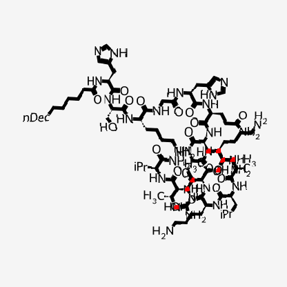 CCCCCCCCCCCCCCCC(=O)N[C@@H](Cc1cnc[nH]1)C(=O)N[C@@H](CO)C(=O)N[C@@H](CCCCN)C(=O)NCC(=O)N[C@@H](Cc1cnc[nH]1)C(=O)N[C@@H](CCC(N)=O)C(=O)N[C@@H](CCCCN)C(=O)N[C@@H](CCCNC(=N)N)C(=O)N[C@@H](CCCCN)C(=O)N[C@@H](C)C(=O)N[C@@H](CC(C)C)C(=O)N[C@@H](CCCCN)C(=O)N[C@H](C(=O)N[C@H](C(=O)N[C@H](C(N)=O)C(C)C)[C@@H](C)O)[C@@H](C)O